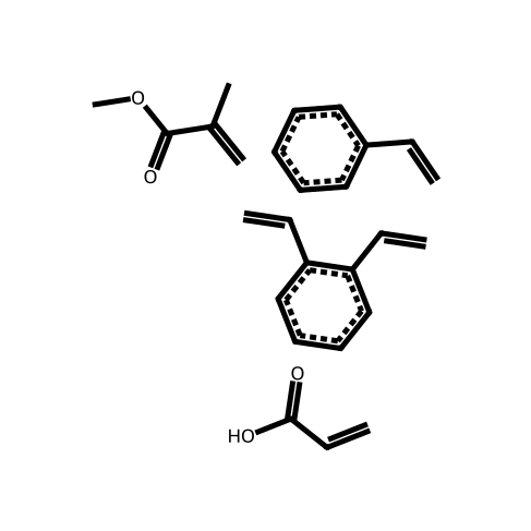 C=C(C)C(=O)OC.C=CC(=O)O.C=Cc1ccccc1.C=Cc1ccccc1C=C